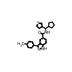 Cc1ccc(-c2n[nH]c3ccc(C(=O)NC(c4ccsc4)C4CCCC4)cc23)cc1